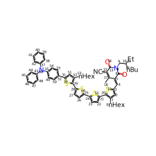 CCCCCCc1cc(/C=C2/C(=O)N(CC(CC)CCCC)C(=O)C(C#N)=C2C)sc1-c1ccc(-c2ccc(-c3sc(-c4ccc(N(c5ccccc5)c5ccccc5)cc4)cc3CCCCCC)s2)s1